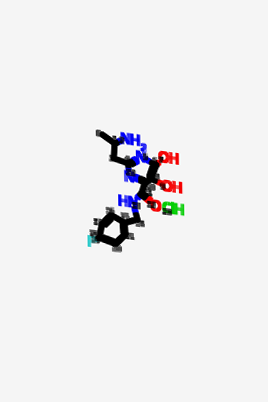 CC(N)Cc1nc(O)c(O)c(C(=O)NCc2ccc(F)cc2)n1.Cl